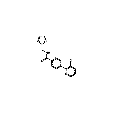 O=C(NCc1cccs1)c1ccc(-c2ncccc2Cl)cn1